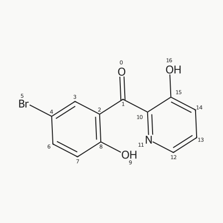 O=C(c1cc(Br)ccc1O)c1ncccc1O